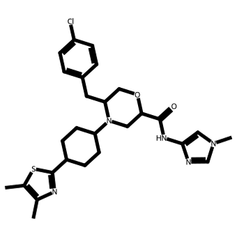 Cc1nc(C2CCC(N3CC(C(=O)Nc4cn(C)cn4)OCC3Cc3ccc(Cl)cc3)CC2)sc1C